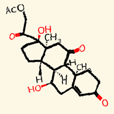 CC(=O)OCC(=O)[C@@]1(O)CC[C@H]2[C@@H]3[C@H](O)CC4=CC(=O)CC[C@]4(C)[C@H]3C(=O)C[C@@]21C